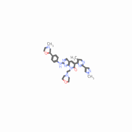 Cc1cnc(-c2cnn(C)c2)nc1-c1cc2cnc(Nc3ccc(C4CN(C)CCO4)cc3)nc2n(CCN2CCOCC2)c1=O